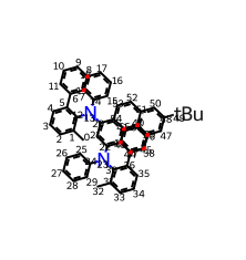 Cc1cccc(-c2ccccc2)c1N(c1ccccc1)c1cc(N(c2ccccc2)c2c(C)cccc2-c2ccccc2)c2ccc3cc(C(C)(C)C)cc4ccc1c2c43